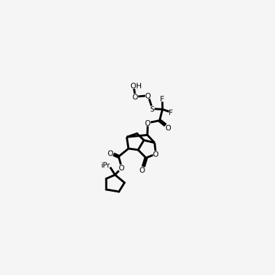 CC(C)C1(OC(=O)C2C3CC4C(OC(=O)C42)C3OC(=O)C(F)(F)SOOO)CCCC1